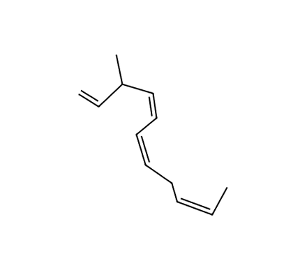 C=CC(C)/C=C\C=C/C/C=C\C